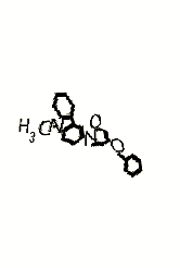 Cn1c2c(c3cc(-n4ccc(OCc5ccccc5)cc4=O)ccc31)CCCC2